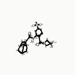 CS(=O)(=O)c1ccc(C(=O)N2CC(F)(F)C2)c(NC(=O)C23CC4CC(CC2C4)C3)c1